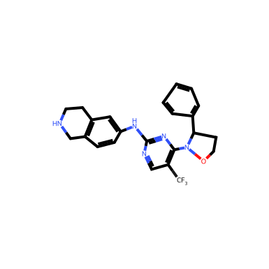 FC(F)(F)c1cnc(Nc2ccc3c(c2)CCNC3)nc1N1OCCC1c1ccccc1